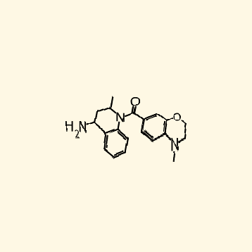 CC1CC(N)c2ccccc2N1C(=O)c1ccc2c(c1)OCCN2C